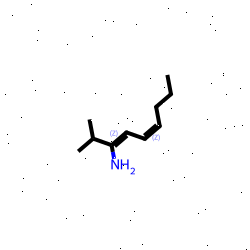 CCC/C=C\C=C(/N)C(C)C